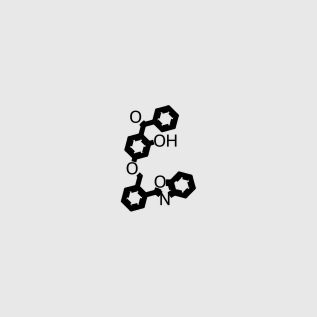 O=C(c1ccccc1)c1ccc(OCc2ccccc2-c2nc3ccccc3o2)cc1O